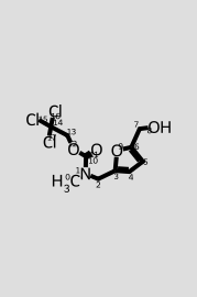 CN(Cc1ccc(CO)o1)C(=O)OCC(Cl)(Cl)Cl